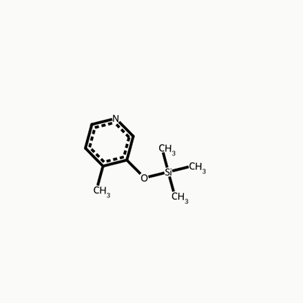 Cc1ccncc1O[Si](C)(C)C